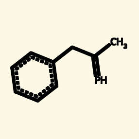 CC(=P)Cc1ccccc1